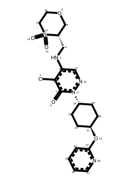 O=c1c(Cl)c(NC[C@H]2COCCS2(=O)=O)cnn1[C@H]1CC[C@H](Oc2ccccn2)CC1